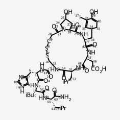 CCC(C)[C@H](NC(=O)[C@H](Cc1c[nH]cn1)NC(=O)[C@@H]1CSSCCC(=O)N2CC(O)C[C@H]2C(=O)N[C@@H](CC2C=C(I)C(O)=CC2)C(=O)N[C@@H](CC(=O)O)C(=O)N[C@@H](CC(C)C)C(=O)N1)C(=O)N[C@@H](CC(C)C)C(N)=O